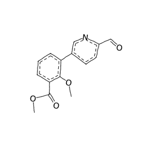 COC(=O)c1cccc(-c2ccc(C=O)nc2)c1OC